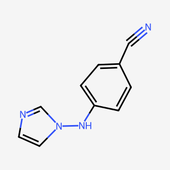 N#Cc1ccc(Nn2ccnc2)cc1